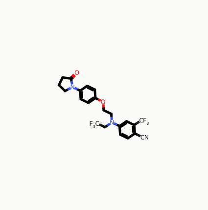 N#Cc1ccc(N(CCOc2ccc(N3CCCC3=O)cc2)CC(F)(F)F)cc1C(F)(F)F